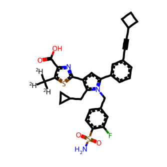 [2H]C([2H])([2H])c1sc(-c2cc(-c3cccc(C#CC4CCC4)c3)n(Cc3ccc(S(N)(=O)=O)c(F)c3)c2CC2CC2)nc1C(=O)O